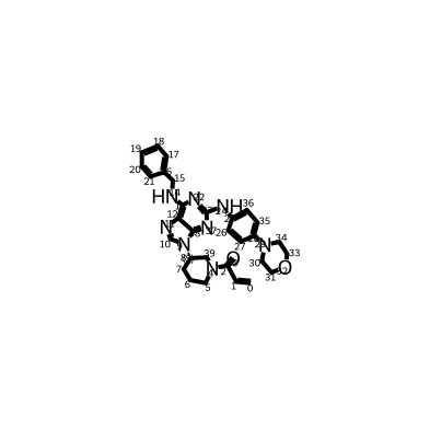 C=CC(=O)N1CCC[C@H](n2cnc3c(NCc4ccccc4)nc(Nc4ccc(N5CCOCC5)cc4)nc32)C1